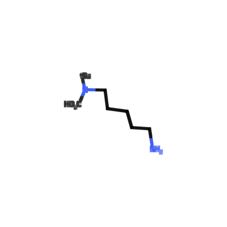 CC(C)(C)N(CCCCCN)C(=O)O